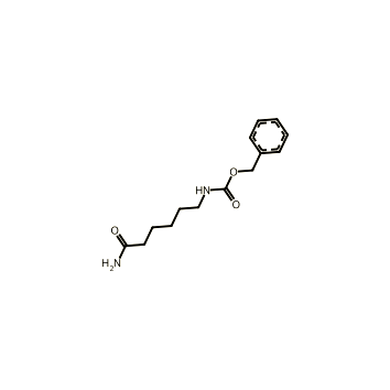 NC(=O)CCCCCNC(=O)OCc1ccccc1